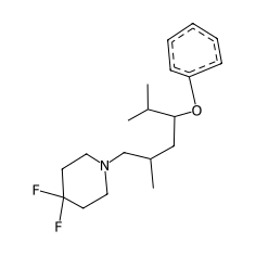 CC(CC(Oc1ccccc1)C(C)C)CN1CCC(F)(F)CC1